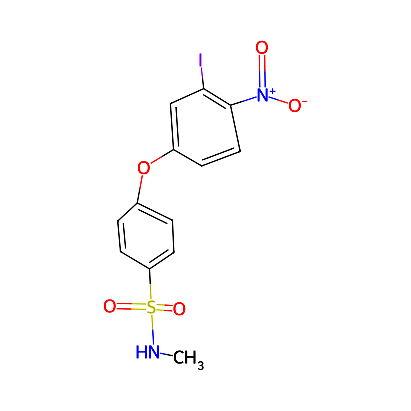 CNS(=O)(=O)c1ccc(Oc2ccc([N+](=O)[O-])c(I)c2)cc1